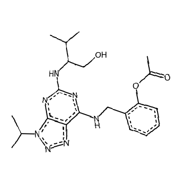 CC(=O)Oc1ccccc1CNc1nc(NC(CO)C(C)C)nc2c1nnn2C(C)C